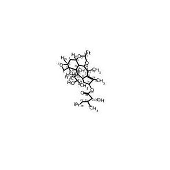 CCC1O[C@H]2C[C@H]3OC[C@@]3(OC(C)=O)[C@H]3[C@H](C)[C@]4(C(C)(C)O)C[C@H](OC(=O)[C@H](O)C(C)CC(C)C)C(C)=C4[C@H](C)[C@H](O1)[C@]23C